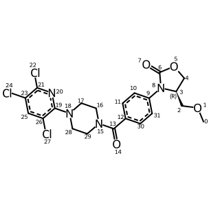 COC[C@@H]1COC(=O)N1c1ccc(C(=O)N2CCN(c3nc(Cl)c(Cl)cc3Cl)CC2)cc1